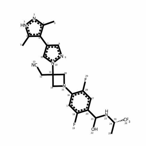 Cc1n[nH]c(C)c1-c1cnn(C2(CC#N)CN(c3cc(F)c(C(O)N[C@@H](C)C(F)(F)F)cc3F)C2)c1